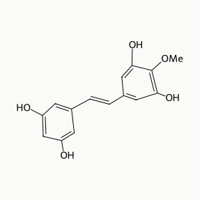 COc1c(O)cc(C=Cc2cc(O)cc(O)c2)cc1O